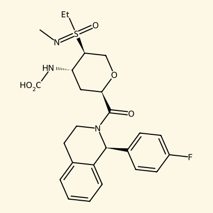 CCS(=O)(=NC)[C@H]1CO[C@@H](C(=O)N2CCc3ccccc3[C@@H]2c2ccc(F)cc2)C[C@@H]1NC(=O)O